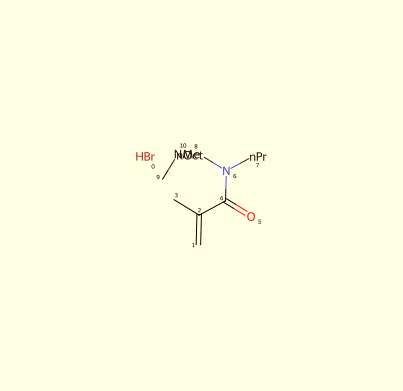 Br.C=C(C)C(=O)N(CCC)CCCCCCCC.CNC